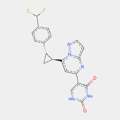 O=c1[nH]cc(-c2cc([C@H]3C[C@@H]3c3ccc(C(F)F)cc3)n3nccc3n2)c(=O)[nH]1